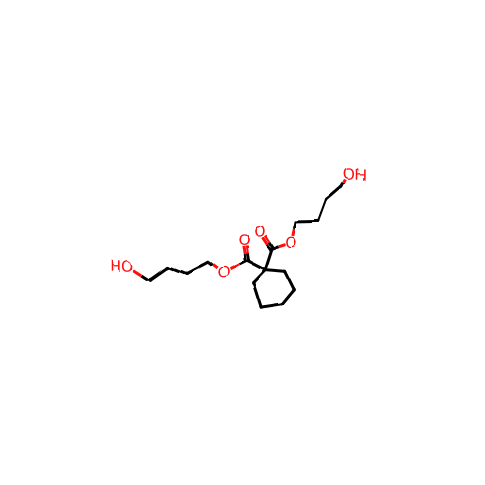 O=C(OCCCCO)C1(C(=O)OCCCCO)CCCCC1